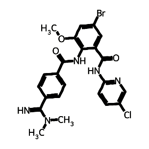 COc1cc(Br)cc(C(=O)Nc2ccc(Cl)cn2)c1NC(=O)c1ccc(C(=N)N(C)C)cc1